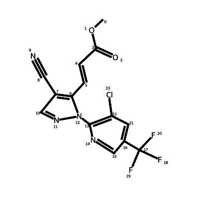 COC(=O)C=Cc1c(C#N)cnn1-c1ncc(C(F)(F)F)cc1Cl